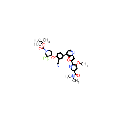 COc1cc(C(=O)N(C)C)cnc1-c1cc2nccc(-c3ccc(OC4CCN(C(=O)OC(C)(C)C)CC4(F)F)c(C#N)c3)c2o1